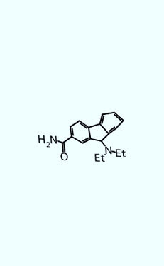 CCN(CC)C1c2ccccc2-c2ccc(C(N)=O)cc21